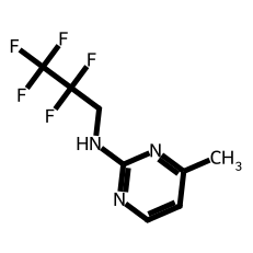 Cc1ccnc(NCC(F)(F)C(F)(F)F)n1